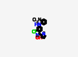 Cn1cccc1/C(=N\O)c1ccc(Nc2ccccc2[N+](=O)[O-])cc1Cl